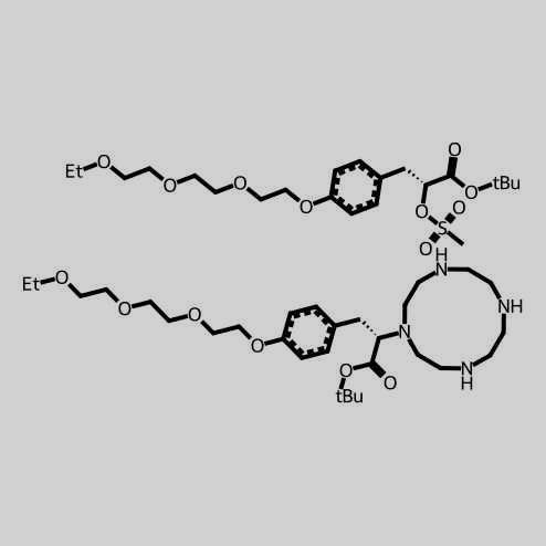 CCOCCOCCOCCOc1ccc(C[C@@H](C(=O)OC(C)(C)C)N2CCNCCNCCNCC2)cc1.CCOCCOCCOCCOc1ccc(C[C@@H](OS(C)(=O)=O)C(=O)OC(C)(C)C)cc1